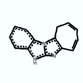 C1=CCc2c(nc3[nH]c4ccccc4n23)C=C1